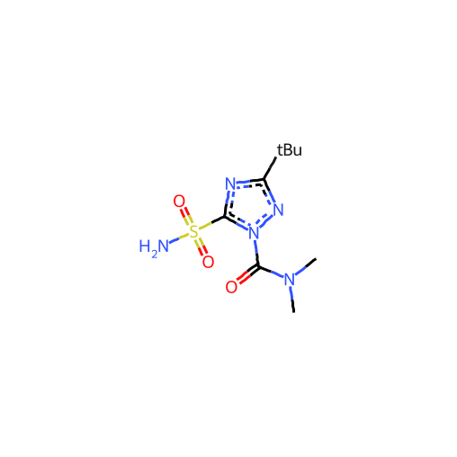 CN(C)C(=O)n1nc(C(C)(C)C)nc1S(N)(=O)=O